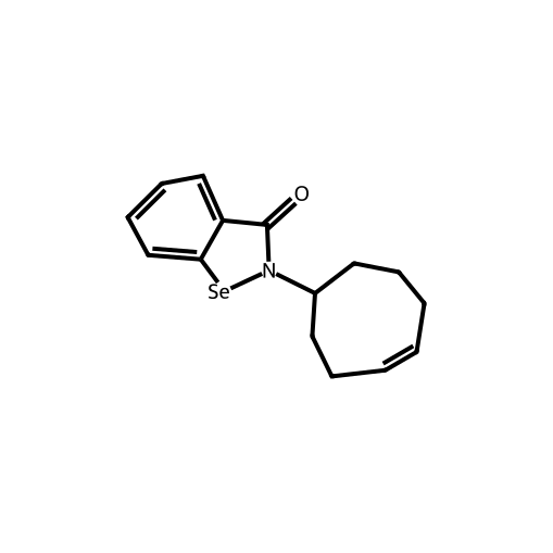 O=c1c2ccccc2[se]n1C1CCC=CCCC1